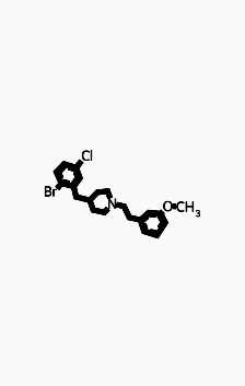 COc1cccc(CCN2CCC(Cc3cc(Cl)ccc3Br)CC2)c1